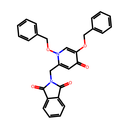 O=C1c2ccccc2C(=O)N1Cc1cc(=O)c(OCc2ccccc2)cn1OCc1ccccc1